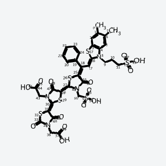 Cc1cc2c(cc1C)N(CCCS(=O)(=O)O)C(=C/C(c1ccccc1)=c1/s/c(=c3/s/c(=C4/SC(=O)N(CC(=O)O)C4=O)n(CC(=O)O)c3=O)n(CS(=O)(=O)O)c1=O)S2